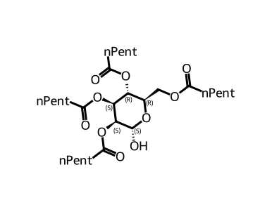 CCCCCC(=O)OC[C@H]1O[C@H](O)[C@@H](OC(=O)CCCCC)[C@@H](OC(=O)CCCCC)[C@@H]1OC(=O)CCCCC